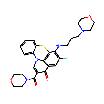 O=C(c1cn2c3c(c(NCCCN4CCOCC4)c(F)cc3c1=O)Sc1ccccc1-2)N1CCOCC1